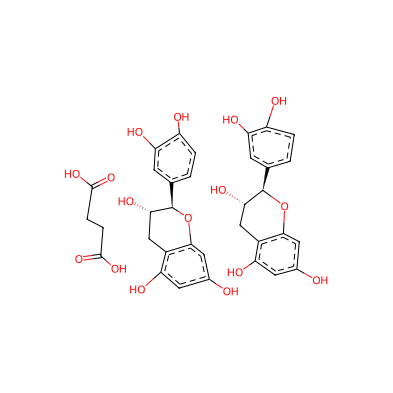 O=C(O)CCC(=O)O.Oc1cc(O)c2c(c1)O[C@H](c1ccc(O)c(O)c1)[C@@H](O)C2.Oc1cc(O)c2c(c1)O[C@H](c1ccc(O)c(O)c1)[C@@H](O)C2